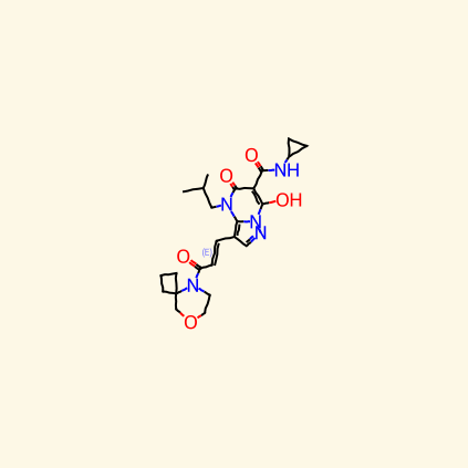 CC(C)Cn1c(=O)c(C(=O)NC2CC2)c(O)n2ncc(/C=C/C(=O)N3CCOCC34CCC4)c12